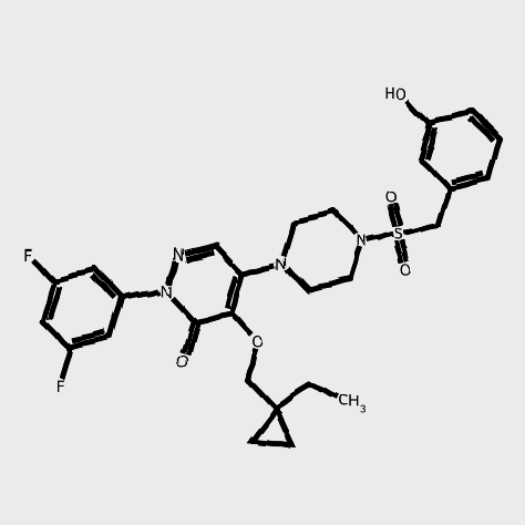 CCC1(COc2c(N3CCN(S(=O)(=O)Cc4cccc(O)c4)CC3)cnn(-c3cc(F)cc(F)c3)c2=O)CC1